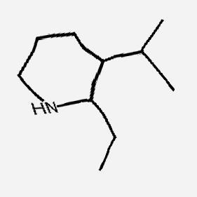 CCC1NCCCC1C(C)C